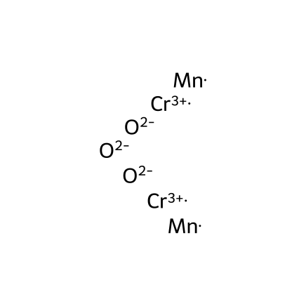 [Cr+3].[Cr+3].[Mn].[Mn].[O-2].[O-2].[O-2]